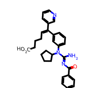 NC(=NC(=O)c1ccccc1)N(c1cccc(/C(=C\CCCC(=O)O)c2cccnc2)c1)C1CCCC1